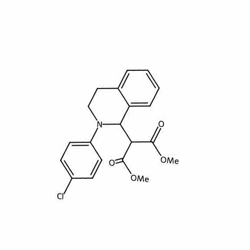 COC(=O)C(C(=O)OC)C1c2ccccc2CCN1c1ccc(Cl)cc1